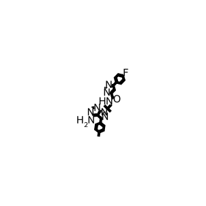 Cc1ccc(-c2nn(C(C)(C)CNC(=O)c3cc(-c4ccc(F)cc4)ncn3)c3ncnc(N)c23)cc1